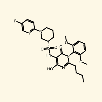 CCCCc1nc(O)c(NS(=O)(=O)[C@H]2CCCN(c3ccc(F)cn3)C2)c(=O)n1-c1c(OC)cccc1OC